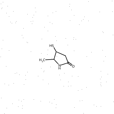 CC1NC(=O)CC1S